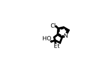 CCC1(CO)Cc2nccc(Cl)c2C1